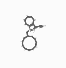 N#Cc1nn(CC2CCCCCCCCCC2)c2c1CCCCC2